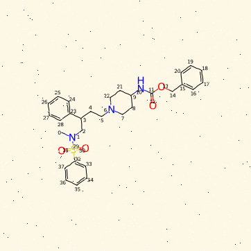 CN(CC(CCN1CCC(NC(=O)OCc2ccccc2)CC1)c1ccccc1)S(=O)(=O)c1ccccc1